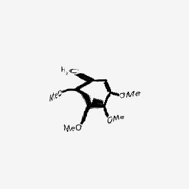 C=C1C=C(OC)C(OC)=C(OC)C1OC